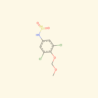 COCOc1c(Cl)cc(N[SH](=O)=O)cc1Cl